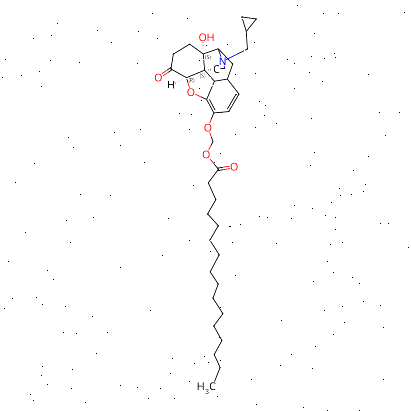 CCCCCCCCCCCCCCCC(=O)OCOC1=C2O[C@H]3C(=O)CC[C@@]4(O)C5CC(C=C1)C2[C@@]34CCN5CC1CC1